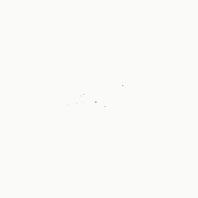 O=C(C(=O)N1CCN(c2nccc(-c3ccccc3)n2)CC1)c1c[nH]c2c(-n3ccnn3)ncc(F)c12